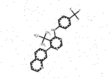 CC(C)(C)c1c(Nc2ccc(C(F)(F)F)cc2)ncnc1-c1ccc2cccnc2c1